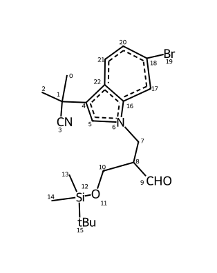 CC(C)(C#N)c1cn(CC(C=O)CO[Si](C)(C)C(C)(C)C)c2cc(Br)ccc12